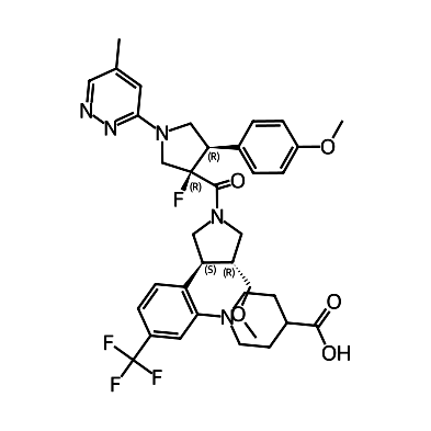 COC[C@H]1CN(C(=O)[C@]2(F)CN(c3cc(C)cnn3)C[C@H]2c2ccc(OC)cc2)C[C@@H]1c1ccc(C(F)(F)F)cc1N1CCC(C(=O)O)CC1